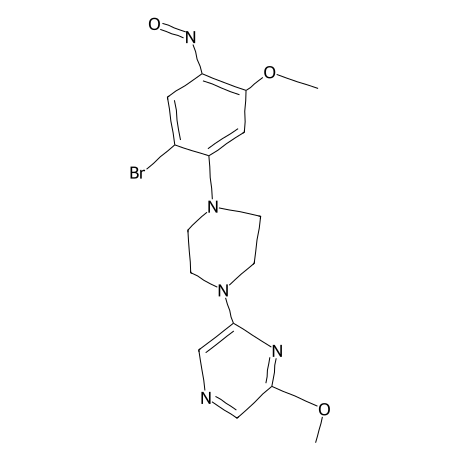 COc1cncc(N2CCN(c3cc(OC)c(N=O)cc3Br)CC2)n1